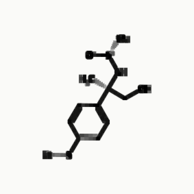 CCSc1ccc([C@](C)(CO)N[S@+]([O-])C(C)(C)C)cc1